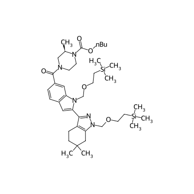 CCCCOC(=O)N1CCN(C(=O)c2ccc3cc(-c4nn(COCC[Si](C)(C)C)c5c4CCC(C)(C)C5)n(COCC[Si](C)(C)C)c3c2)C[C@H]1C